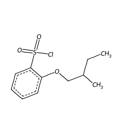 CCC(C)COc1ccccc1S(=O)(=O)Cl